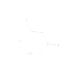 CCCCCCCCC([CH]C(CC)CCCCCCC)CCCCC